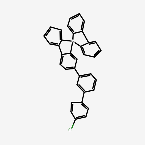 Clc1ccc(-c2cccc(-c3ccc4c(c3)[Si]3(c5ccccc5-c5ccccc53)c3ccccc3-4)c2)cc1